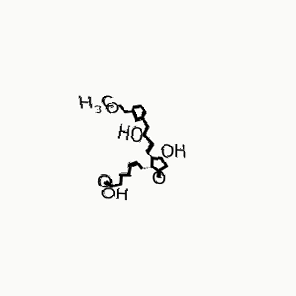 COCCc1cccc(CC(O)/C=C/[C@H]2[C@H](O)CC(=O)[C@@H]2C/C=C\CCCC(=O)O)c1